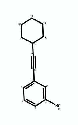 Brc1cccc(C#CC2CCCCC2)c1